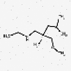 CCNC[C@](C)(COC)CC(C)C